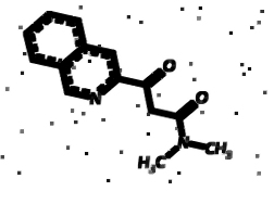 CN(C)C(=O)CC(=O)c1cc2ccccc2cn1